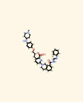 CN1CCC(Nc2ccc(OCCCc3ccc(N4CCc5cccc(C(=O)Nc6nc7ccccc7s6)c5C4)nc3C(=O)O)cc2)CC1